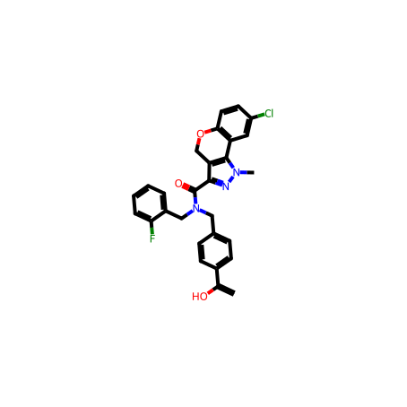 C=C(O)c1ccc(CN(Cc2ccccc2F)C(=O)c2nn(C)c3c2COc2ccc(Cl)cc2-3)cc1